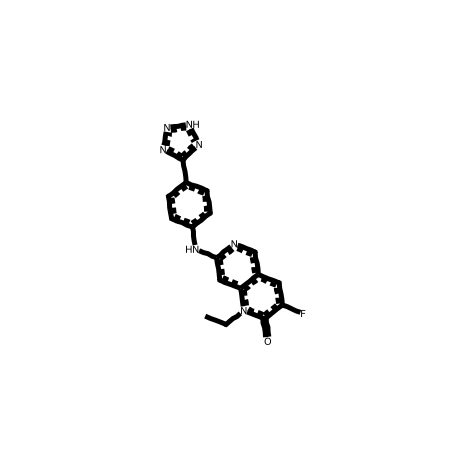 CCn1c(=O)c(F)cc2cnc(Nc3ccc(-c4nn[nH]n4)cc3)cc21